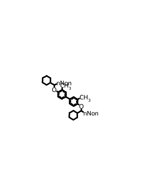 CCCCCCCCCC(Oc1ccc(-c2ccc(OC(CCCCCCCCC)C3CCCCC3)c(C)c2)cc1C)C1CCCCC1